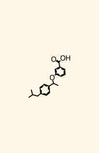 CC(C)Cc1ccc(C(C)Oc2cccc(C(=O)O)c2)cc1